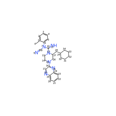 Cc1ccccc1N(C#N)C(=N)N1CCN(c2cnc3ccccc3n2)CC1CC1CCCCC1